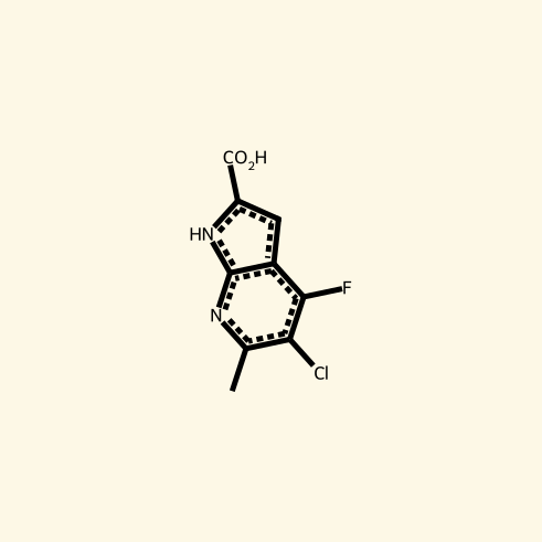 Cc1nc2[nH]c(C(=O)O)cc2c(F)c1Cl